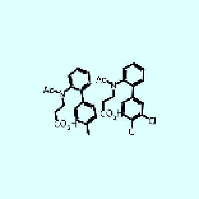 CC(=O)N(CCC(=O)O)c1ccccc1-c1ccc(C)cc1.CC(=O)N(CCC(=O)O)c1ccccc1-c1ccc(Cl)c(Cl)c1